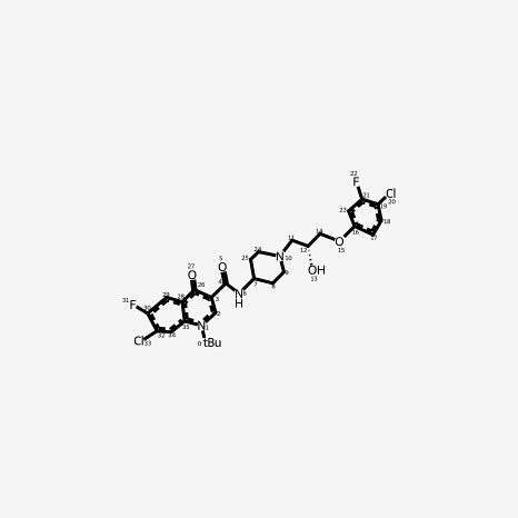 CC(C)(C)n1cc(C(=O)NC2CCN(C[C@@H](O)COc3ccc(Cl)c(F)c3)CC2)c(=O)c2cc(F)c(Cl)cc21